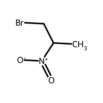 CC(CBr)[N+](=O)[O-]